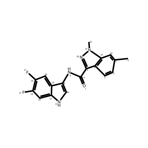 Cc1ccc2c(C(=O)Nc3c[nH]c4cc(F)c(F)cc34)nn(C)c2c1